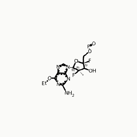 CCOc1nc(N)nc2c1ncn2[C@@H]1O[C@](F)(COP=O)C(O)[C@@]1(C)F